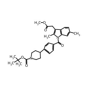 COC(=O)Cc1c(C)n(C(=O)c2ccc(C3CCN(C(=O)OC(C)(C)C)CC3)cc2)c2cc(C)ccc12